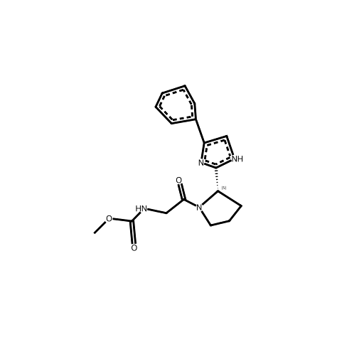 COC(=O)NCC(=O)N1CCC[C@H]1c1nc(-c2ccccc2)c[nH]1